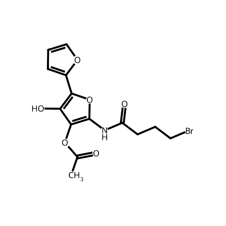 CC(=O)Oc1c(NC(=O)CCCBr)oc(-c2ccco2)c1O